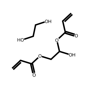 C=CC(=O)OCC(O)OC(=O)C=C.OCCO